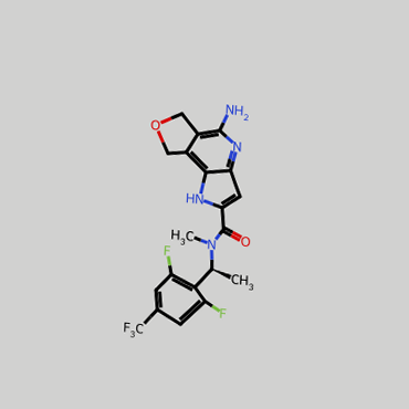 C[C@@H](c1c(F)cc(C(F)(F)F)cc1F)N(C)C(=O)c1cc2nc(N)c3c(c2[nH]1)COC3